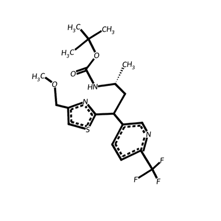 COCc1csc(C(C[C@@H](C)NC(=O)OC(C)(C)C)c2ccc(C(F)(F)F)nc2)n1